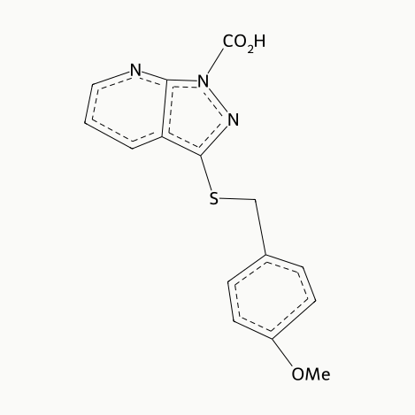 COc1ccc(CSc2nn(C(=O)O)c3ncccc23)cc1